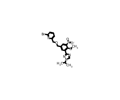 COc1c(-c2ncn(C(C)C)n2)cc(COCc2cccc(Br)n2)cc1[N+](=O)[O-]